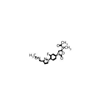 CON=Cc1ccn(-c2ccc(N3CC(N(C)C(C)=O)OC3=O)cc2F)n1